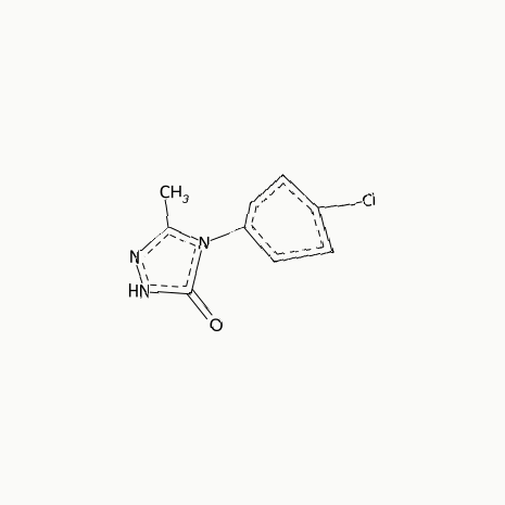 Cc1n[nH]c(=O)n1-c1ccc(Cl)cc1